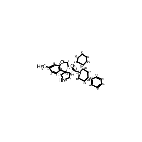 Cc1ccc2c(c1)OCC[C@]21CNC[C@H]1C(=O)N1CC[C@@H](c2ccccc2)C[C@H]1C1CCCCC1